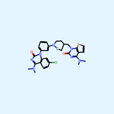 CN(C)c1nc(=O)n(CC2CCN(c3cccc(-n4c(=O)nc(N(C)C)c5ccc(Cl)cc54)c3)CC2)c2sccc12